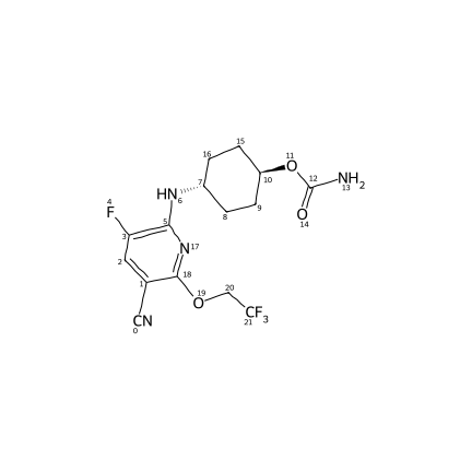 N#Cc1cc(F)c(N[C@H]2CC[C@H](OC(N)=O)CC2)nc1OCC(F)(F)F